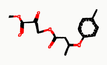 COC(=O)C(=O)COC(=O)CC(C)Oc1ccc(C)cc1